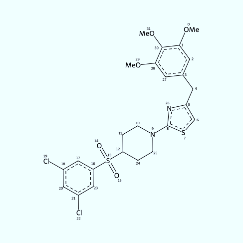 COc1cc(Cc2csc(N3CCC(S(=O)(=O)c4cc(Cl)cc(Cl)c4)CC3)n2)cc(OC)c1OC